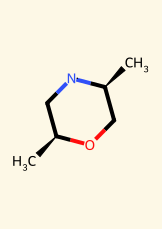 C[C@H]1CO[C@@H](C)C[N]1